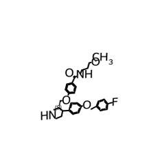 COCCCNC(=O)c1ccc(OC[C@@H]2CNCCC2c2ccc(OCc3ccc(F)cc3)cc2)cc1